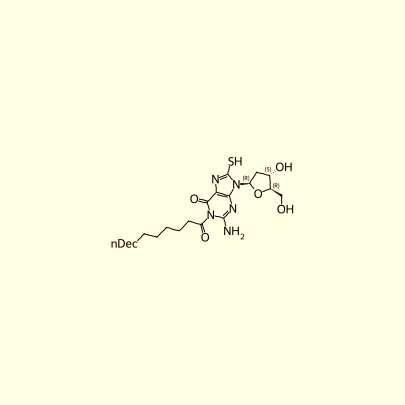 CCCCCCCCCCCCCCCC(=O)n1c(N)nc2c(nc(S)n2[C@H]2C[C@H](O)[C@@H](CO)O2)c1=O